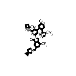 Cn1cnnc1-c1ccc(C(F)(F)F)cc1-c1cc(NC2(C#N)CCC2)nc(N2Cc3c(cc(CN4CCC5(CC5)C4)cc3C(F)(F)F)C2=O)c1